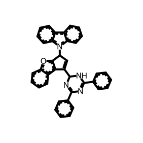 C1=C(C2N=C(c3ccccc3)N=C(c3ccccc3)N2)c2c(oc3ccccc23)C1n1c2ccccc2c2ccccc21